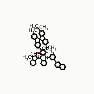 CC(C)(C)c1ccc2c(c1)C1(c3ccccc3-c3ccc(-c4ccc(N(c5cccc(-c6ccc7ccccc7c6)c5)c5ccccc5-c5cccc6c5C5=C(C=CCC5)C6(C)C)cc4)cc31)c1cc(C(C)(C)C)ccc1-2